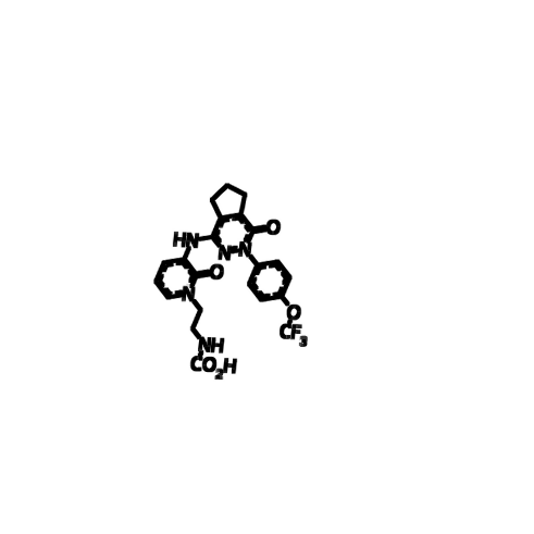 O=C(O)NCCn1cccc(Nc2nn(-c3ccc(OC(F)(F)F)cc3)c(=O)c3c2CCC3)c1=O